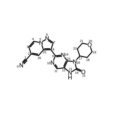 N#Cc1ccn2ncc(-c3ncc4[nH]c(=O)n(C5CCOCC5)c4n3)c2c1